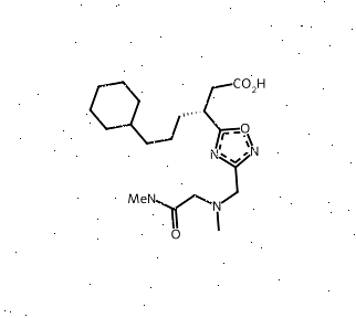 CNC(=O)CN(C)Cc1noc([C@H](CCCC2CCCCC2)CC(=O)O)n1